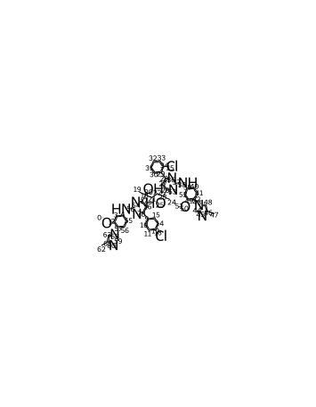 COc1cc(Nc2nc(-c3ccc(Cl)cc3)cc(C(C)(O)CCC(C)(O)c3cc(-c4ccccc4Cl)nc(Nc4ccc(-n5cnc(C)c5)c(OC)c4)n3)n2)ccc1-n1cnc(C)c1